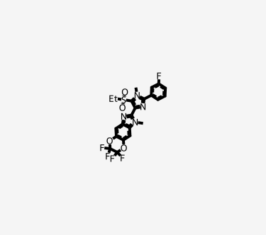 CCS(=O)(=O)c1c(-c2nc3cc4c(cc3n2C)OC(F)(F)C(F)(F)O4)nc(-c2cccc(F)c2)n1C